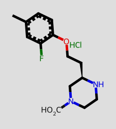 Cc1ccc(OCC[C@@H]2CN(C(=O)O)CCN2)c(F)c1.Cl